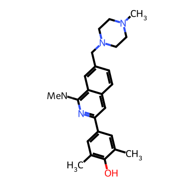 CNc1nc(-c2cc(C)c(O)c(C)c2)cc2ccc(CN3CCN(C)CC3)cc12